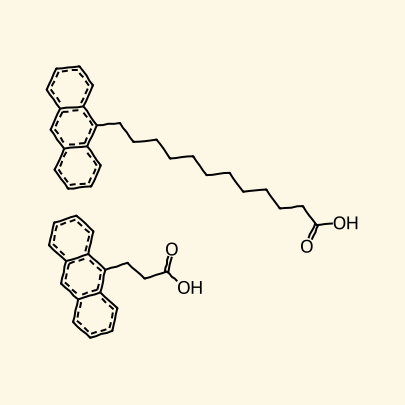 O=C(O)CCCCCCCCCCCc1c2ccccc2cc2ccccc12.O=C(O)CCc1c2ccccc2cc2ccccc12